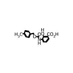 Cc1ccc(COC(=O)Nc2cccc(C(=O)O)c2O)cc1